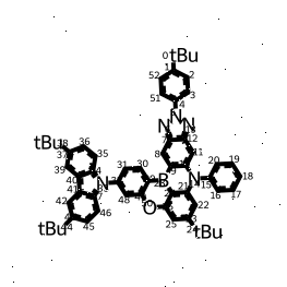 CC(C)(C)c1ccc(-n2nc3cc4c(cc3n2)N(c2ccccc2)c2cc(C(C)(C)C)cc3c2B4c2ccc(-n4c5ccc(C(C)(C)C)cc5c5cc(C(C)(C)C)ccc54)cc2O3)cc1